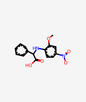 COc1cc([N+](=O)[O-])ccc1NC(C(=O)O)c1ccccc1